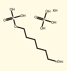 CCCCCCCCCCCCCCCCOP(=O)(O)O.O=P(O)(O)O.[KH]